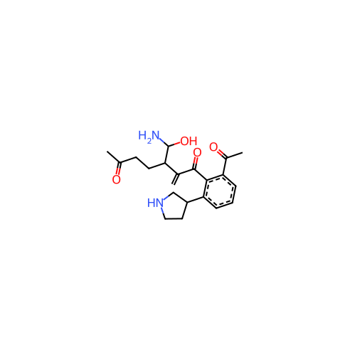 C=C(C(=O)c1c(C(C)=O)cccc1C1CCNC1)C(CCC(C)=O)C(N)O